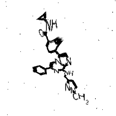 Cn1ccc(CNc2nc(-c3ccccc3)cn3c(-c4ccc(C(=O)NC5CC5)cc4)cnc23)n1